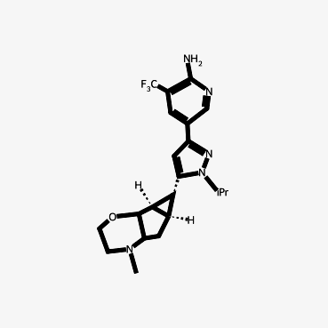 CC(C)n1nc(-c2cnc(N)c(C(F)(F)F)c2)cc1[C@@H]1[C@H]2CC3C(OCCN3C)[C@H]21